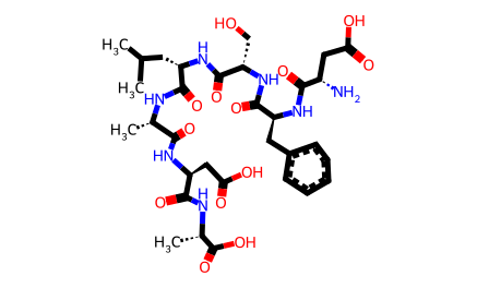 CC(C)C[C@H](NC(=O)[C@H](CO)NC(=O)[C@H](Cc1ccccc1)NC(=O)[C@@H](N)CC(=O)O)C(=O)N[C@@H](C)C(=O)N[C@@H](CC(=O)O)C(=O)N[C@@H](C)C(=O)O